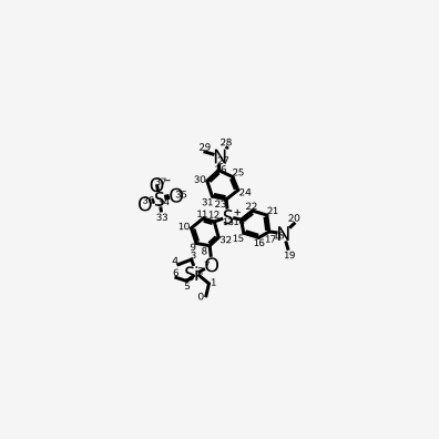 CC[Si](CC)(CC)Oc1cccc([S+](c2ccc(N(C)C)cc2)c2ccc(N(C)C)cc2)c1.CS(=O)(=O)[O-]